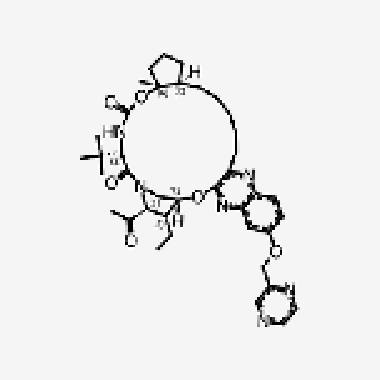 CC[C@@H]1[C@@H]2CN(C(=O)[C@H](C(C)(C)C)NC(=O)O[C@]3(C)CCC[C@H]3CCCCCc3nc4ccc(OCc5cnccn5)cc4nc3O2)[C@@H]1C(C)=O